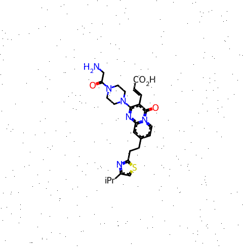 CC(C)c1csc(CCc2ccn3c(=O)c(/C=C/C(=O)O)c(N4CCN(C(=O)CN)CC4)nc3c2)n1